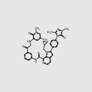 Cc1cc(NCC(=O)c2cccc(NC(=O)c3nccc4cc(-c5ccc(-n6c(C)nn(C)c6=O)cc5)n(CC5CC5)c34)c2)c(=O)n(C)c1